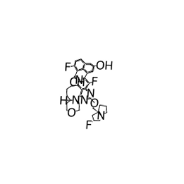 C#Cc1c(F)ccc2cc(O)cc(-c3nc4c5c(nc(OC[C@@]67CCCN6C[C@H](F)C7)nc5c3F)N3CCOCC[C@@H]3CCC4)c12